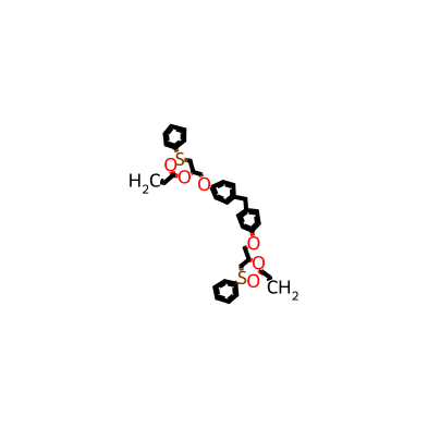 C=CC(=O)OC(COc1ccc(Cc2ccc(OCC(CSc3ccccc3)OC(=O)C=C)cc2)cc1)CSc1ccccc1